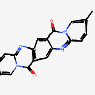 Cc1ccc2nc3cc4c(=O)n5cc(C)ccc5nc4cc3c(=O)n2c1